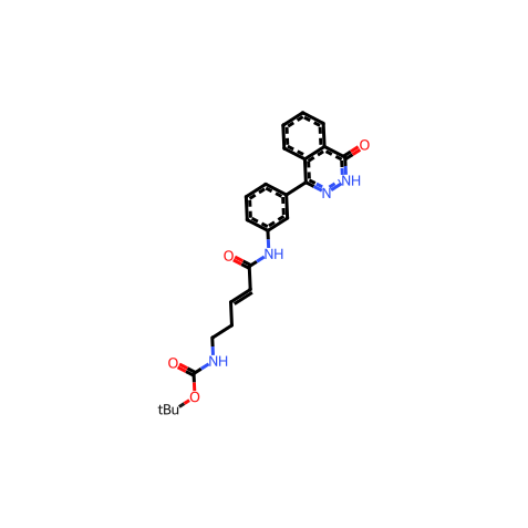 CC(C)(C)OC(=O)NCC/C=C/C(=O)Nc1cccc(-c2n[nH]c(=O)c3ccccc23)c1